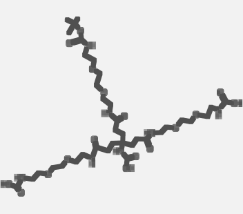 CC(C)(C)OC(=O)NCCOCCOCCNC(=O)CCC(CCC(=O)NCCOCCOCCNC(=O)O)(CCC(=O)NCCOCCOCCNC(=O)O)NC(=O)O